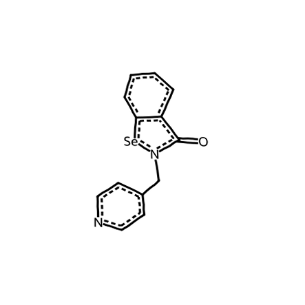 O=c1c2ccccc2[se]n1Cc1ccncc1